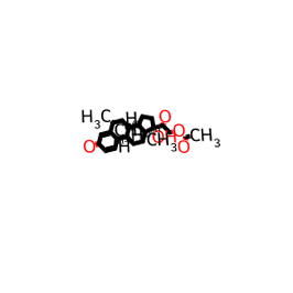 CC(=O)OCC(=O)[C@@]1(O)CC[C@H]2[C@@H]3CC(C)C4=CC(=O)C=C[C@]4(C)[C@H]3CC[C@@]21C